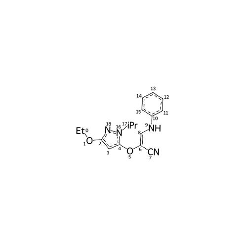 CCOc1cc(O/C(C#N)=C/Nc2ccccc2)n(C(C)C)n1